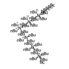 CCCC[N+](CCCC)(CCCC)CCCC.CCCC[N+](CCCC)(CCCC)CCCC.CCCC[N+](CCCC)(CCCC)CCCC.CCCC[N+](CCCC)(CCCC)CCCC.CCCC[N+](CCCC)(CCCC)CCCC.CCCC[N+](CCCC)(CCCC)CCCC.[Br-].[Br-].[Br-].[Br-].[Br-].[Br-]